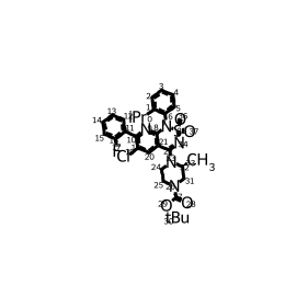 CC(C)c1ccccc1N1c2nc(-c3ccccc3F)c(Cl)cc2C(N2CCN(C(=O)OC(C)(C)C)C[C@@H]2C)=NS1(=O)=O